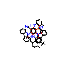 C=CC(Nc1c(C#N)c(-n2c3ccccc3c3ccccc32)c(Nc2ccc(C(C)(C)C)cc2C(/C=C\CC)CCC(C)C)c(-n2c3ccccc3c3ccccc32)c1C#N)=C(Sc1ccccc1C(=C)/C=C\CC)C(C)C